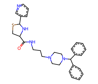 O=C(NCCCN1CCN(C(c2ccccc2)c2ccccc2)CC1)C1CSC(c2cccnc2)N1